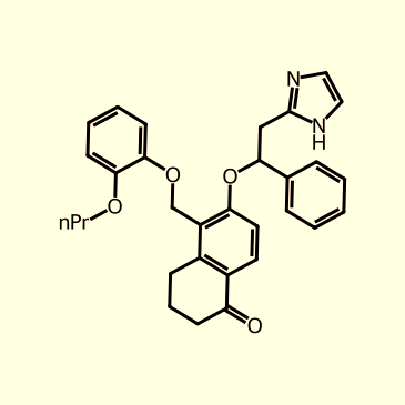 CCCOc1ccccc1OCc1c(OC(Cc2ncc[nH]2)c2ccccc2)ccc2c1CCCC2=O